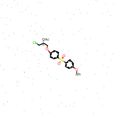 [CH2][CH]COc1ccc(S(=O)(=O)c2ccc(OC[C@H](CCl)OC(C)=O)cc2)cc1